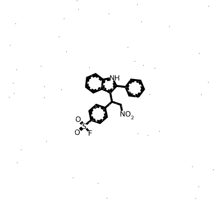 O=[N+]([O-])CC(c1ccc(S(=O)(=O)F)cc1)c1c(-c2ccccc2)[nH]c2ccccc12